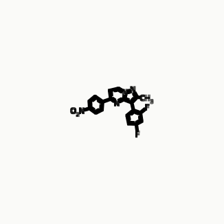 Cc1nn2ccc(-c3ccc([N+](=O)[O-])cc3)nc2c1-c1ccc(F)cc1F